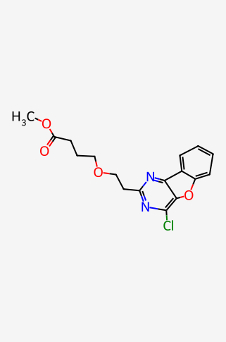 COC(=O)CCCOCCc1nc(Cl)c2oc3ccccc3c2n1